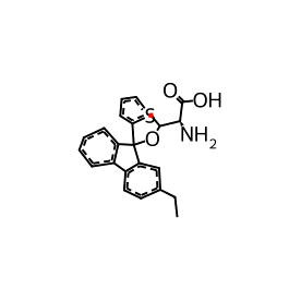 CCc1ccc2c(c1)C(OC(C)[C@H](N)C(=O)O)(c1cccs1)c1ccccc1-2